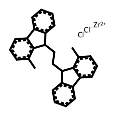 Cc1cccc2c1C(CCC1c3ccccc3-c3cccc(C)c31)c1ccccc1-2.[Cl-].[Cl-].[Zr+2]